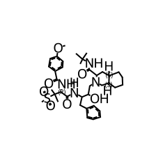 COc1ccc(C(=O)N[C@H](C(=O)NC(Cc2ccccc2)C(O)CN2C[C@H]3CCCC[C@H]3CC2C(=O)NC(C)(C)C)C(C)(C)S(C)(=O)=O)cc1